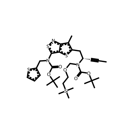 CC#C[C@@H](Cc1sc2c(N(Cc3cccs3)C(=O)OC(C)(C)C)snc2c1C)N(COCC[Si](C)(C)C)C(=O)OC(C)(C)C